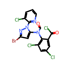 O=CN(c1c(Cl)cc(Cl)cc1C(=O)Cl)c1cc(Br)nn1-c1ncccc1Cl